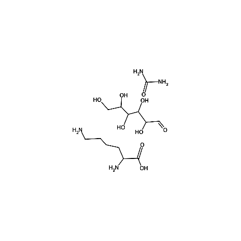 NC(N)=O.NCCCCC(N)C(=O)O.O=CC(O)C(O)C(O)C(O)CO